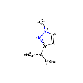 CCCCCCC(CCCCC)c1ccn(C)n1